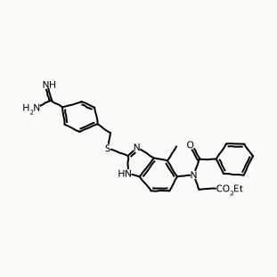 CCOC(=O)CN(C(=O)c1ccccc1)c1ccc2[nH]c(SCc3ccc(C(=N)N)cc3)nc2c1C